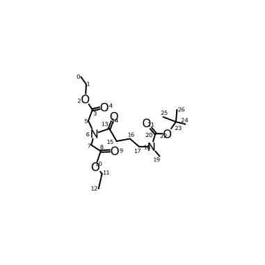 CCOC(=O)CN(CC(=O)OCC)C(=O)CCCN(C)C(=O)OC(C)(C)C